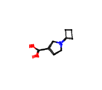 OC(O)C1CCN(C2CCC2)C1